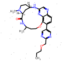 CCCOCc1ncc(-c2ccc3ncc4nc3c2OCCC(C)NC(=O)[C@@H]2C[C@H](CCN2C)N4)cn1